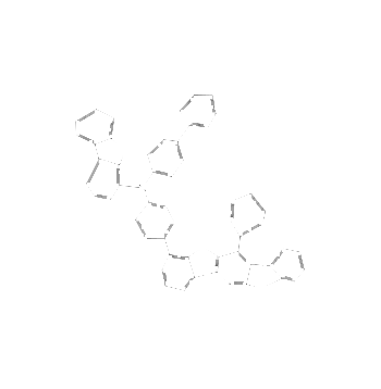 c1ccc(-c2ccc(N(c3ccc(-c4cccc5c4oc4c(-c6ccccc6)c6c(cc45)oc4ccccc46)cc3)c3cccc4c3oc3ccccc34)cc2)cc1